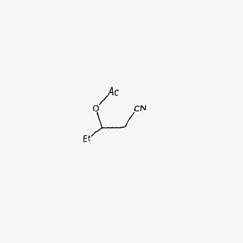 CCC(CC#N)OC(C)=O